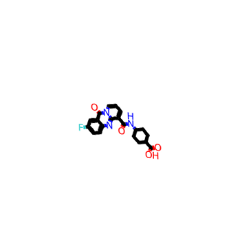 O=C(NC1CCC(C(=O)O)CC1)c1cccn2c(=O)c3cc(F)ccc3nc12